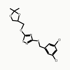 CC1(C)OCC(COc2nc(SCc3cc(Cl)cc(Cl)c3)ns2)O1